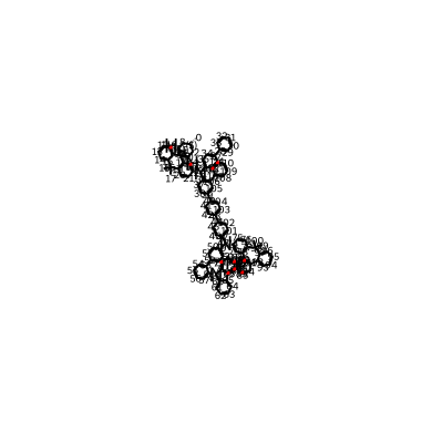 C[C@@H]1C[C@H]2CCC[C@@H](C1)C21c2ccccc2C(C)(C)c2ccc(N(c3ccc(-c4ccccc4)cc3)c3ccc(-c4ccc(-c5ccc(N(c6ccc(-c7ccccc7-n7c8ccccc8c8ccccc87)cc6)c6ccc7c(c6)[C@]6(C)[C@H]8CC9C[C@@H](C)CC(C8)C96c6ccccc6C7(C)C)cc5)cc4)cc3-c3ccccc3)cc21